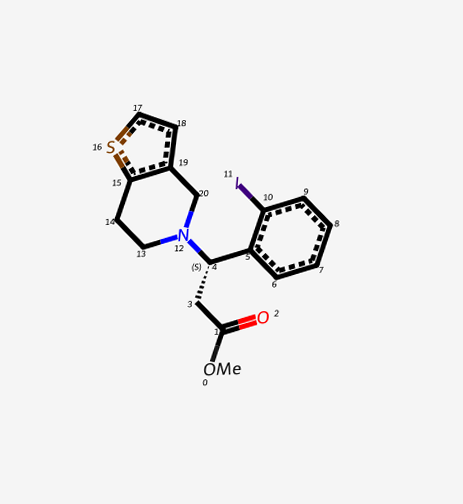 COC(=O)C[C@@H](c1ccccc1I)N1CCc2sccc2C1